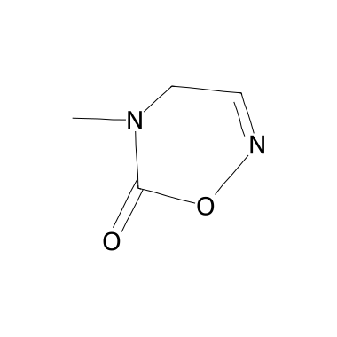 CN1CC=NOC1=O